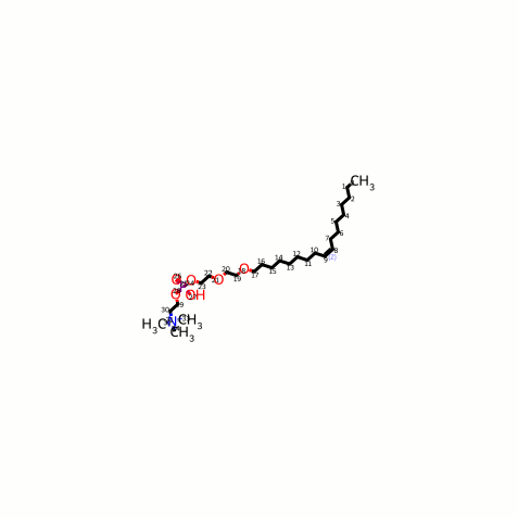 CCCCCCCC/C=C\CCCCCCCCOCCOCCOP(=O)(O)OCC[N+](C)(C)C